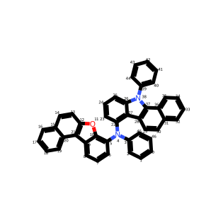 c1ccc(N(c2cccc3c2oc2ccc4ccccc4c23)c2cccc3c2c2ccc4ccccc4c2n3-c2ccccc2)cc1